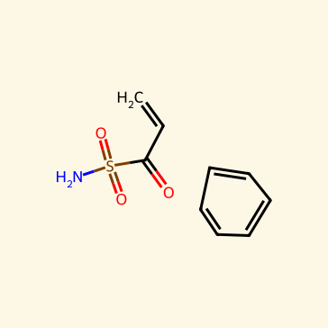 C=CC(=O)S(N)(=O)=O.c1ccccc1